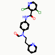 O=CN(CCc1ccccn1)c1ccc(NC(=O)c2c(Cl)ccnc2Cl)cc1